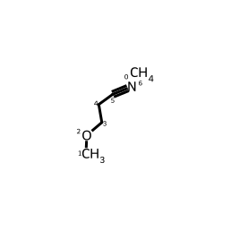 C.COCCC#N